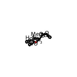 COCC(COC(=O)C1CC2CCCCC2C1)OC(=O)CCCN(CCCC(=O)OC(COC(=O)C1CC2CCCCC2C1)CC1CC2CCCCC2C1)CCCN(C)C